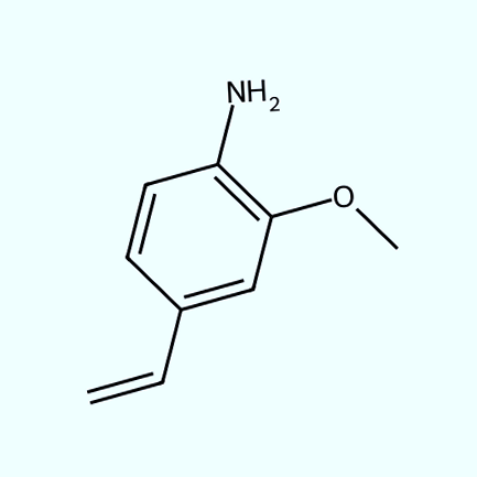 C=Cc1ccc(N)c(OC)c1